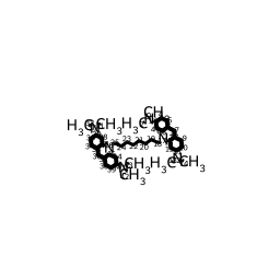 CN(C)c1ccc2cc3ccc(N(C)C)cc3[n+](CCCCCCCC[n+]3c4cc(N(C)C)ccc4cc4ccc(N(C)C)cc43)c2c1